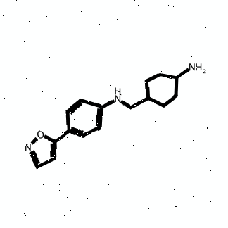 NC1CCC(CNc2ccc(-c3ccno3)cc2)CC1